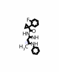 C/C(=C/C(=N)NC(=O)C1(c2ccccc2F)CC1)Nc1ccccc1